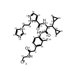 O=C(Cc1ccc(NC(=O)C(NC(=O)c2ccnn2CCn2ccnc2)C(C2CC2)C2CC2)c(F)c1)NCC(F)(F)F